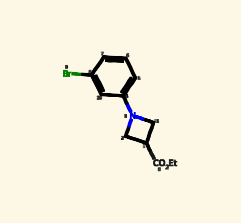 CCOC(=O)C1CN(c2cccc(Br)c2)C1